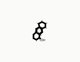 OC1CCCc2cc3c(cc21)CCCC3